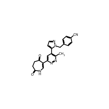 Cc1nnc(C2=CNC(=O)CCC2=O)cc1-c1ccnn1Cc1ccc(C#N)cc1